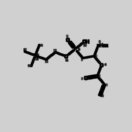 C=CC(=O)OC(CCCCCC)CP(=O)(O)OCC[N+](C)(C)C